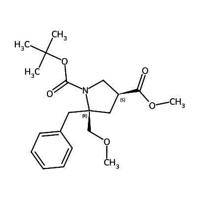 COC[C@]1(Cc2ccccc2)C[C@H](C(=O)OC)CN1C(=O)OC(C)(C)C